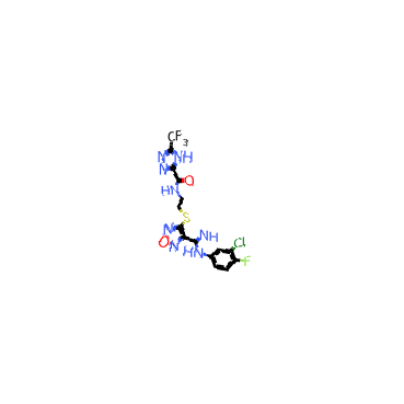 N=C(Nc1ccc(F)c(Cl)c1)c1nonc1SCCNC(=O)c1nnc(C(F)(F)F)[nH]1